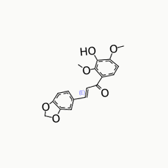 COc1ccc(C(=O)/C=C/c2ccc3c(c2)OCO3)c(OC)c1O